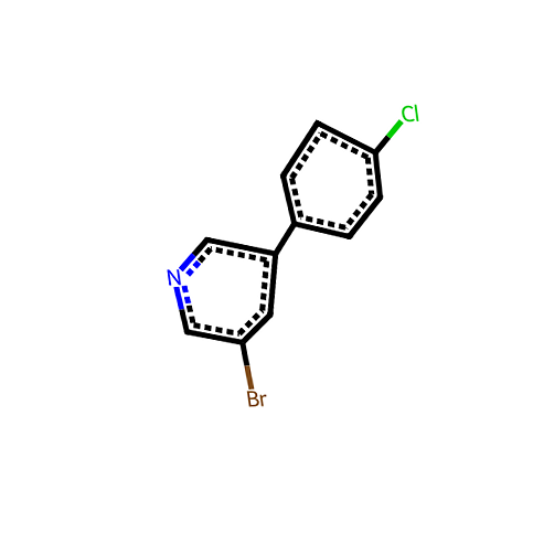 Clc1ccc(-c2cncc(Br)c2)cc1